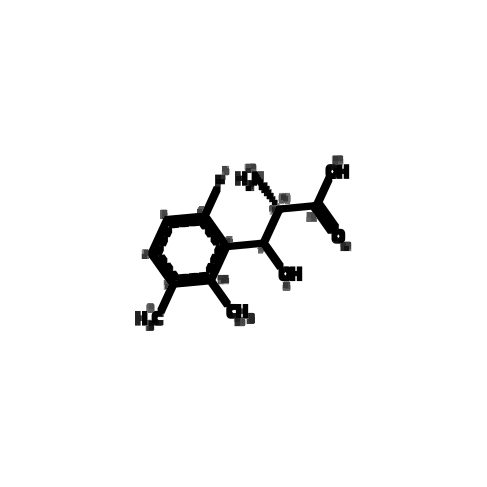 Cc1ccc(F)c(C(O)[C@H](N)C(=O)O)c1C